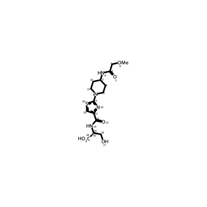 COCC(=O)NC1CCN(c2nc(C(=O)N[C@@H](CO)C(=O)O)cs2)CC1